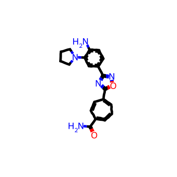 NC(=O)C1=C=CC=C(c2nc(-c3ccc(N)c(N4CCCC4)c3)no2)C=C1